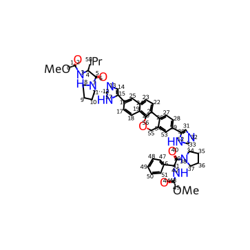 COC(=O)NC(C(=O)N1CCC[C@H]1c1ncc(-c2ccc3c4c(ccc3c2)-c2ccc(-c3cnc([C@@H]5CCCN5C(=O)[C@H](NC(=O)OC)c5ccccc5)[nH]3)cc2CO4)[nH]1)C(C)C